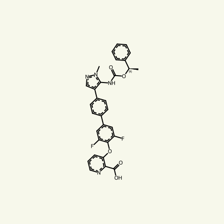 C[C@@H](OC(=O)Nc1c(-c2ccc(-c3cc(F)c(Oc4cccnc4C(=O)O)c(F)c3)cc2)cnn1C)c1ccccc1